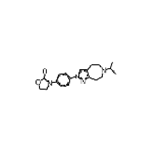 CC(C)N1CCc2cn(-c3ccc(N4CCOC4=O)cc3)nc2CC1